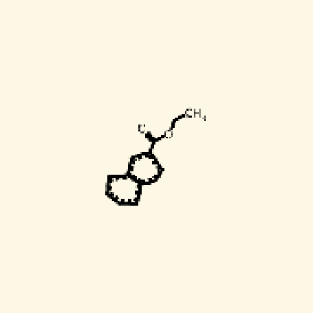 CCOC(=O)c1[c]c2ccccc2cc1